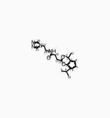 CC(C)c1cccc(C(C)C)c1OC(=O)CCC(=O)NCCn1cnnc1